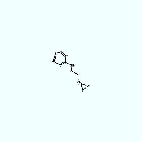 C1CO1.N#CCCNc1ccccc1